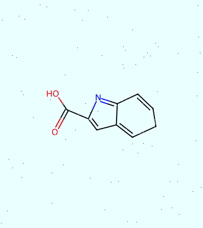 O=C(O)C1=CC2=CCC=CC2=N1